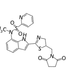 CN(c1cccc2cc(C3=NCC(CN4C(=O)CCC4=O)S3)[nH]c12)S(=O)(=O)c1ccccn1